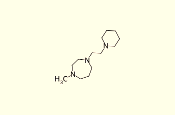 CN1CCCN(CCN2CCCCC2)CC1